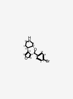 Brc1ccc(CO[C@H]2CNCC[C@@H]2c2ccoc2)cc1